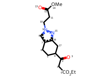 CCOC(=O)CC(=O)C1CCc2cn(CCC(=O)OC)nc2C1